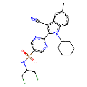 Cc1ccc2c(c1)c(C#N)c(-c1ncc(S(=O)(=O)NC(CF)CF)cn1)n2C1CCCCC1